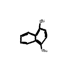 CC(C)(C)c1ccc(C(C)(C)C)c2ccc[c]c12